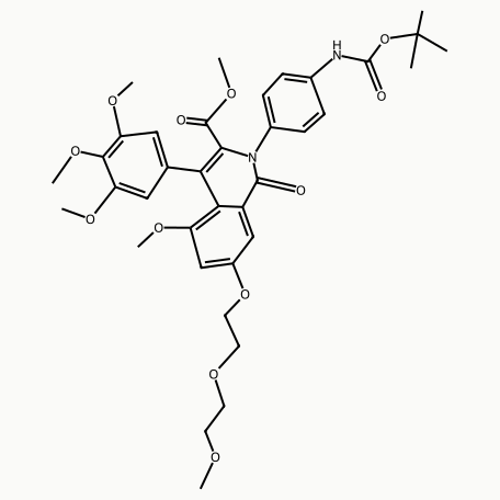 COCCOCCOc1cc(OC)c2c(-c3cc(OC)c(OC)c(OC)c3)c(C(=O)OC)n(-c3ccc(NC(=O)OC(C)(C)C)cc3)c(=O)c2c1